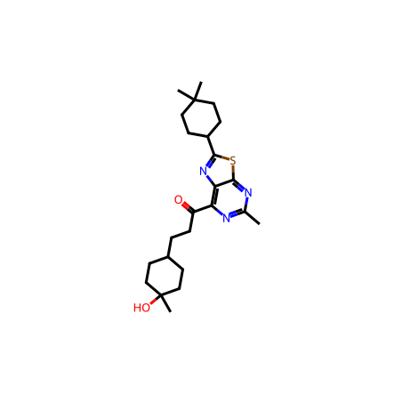 Cc1nc(C(=O)CCC2CCC(C)(O)CC2)c2nc(C3CCC(C)(C)CC3)sc2n1